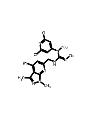 CCCCN(/C(=N\C#N)NCc1cc(C(C)C)c2c(C)nn(C)c2n1)c1cc(Cl)nc(Cl)c1